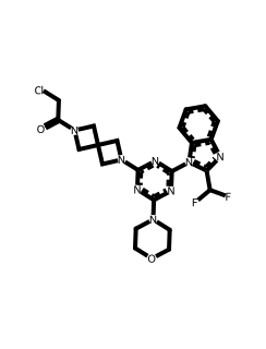 O=C(CCl)N1CC2(C1)CN(c1nc(N3CCOCC3)nc(-n3c(C(F)F)nc4ccccc43)n1)C2